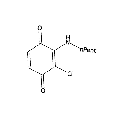 CCCCCNC1=C(Cl)C(=O)C=CC1=O